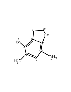 Cc1cc(N)c2c(c1Br)CCO2